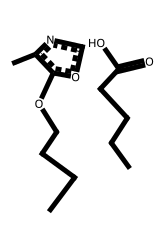 CCCCC(=O)O.CCCCOc1ocnc1C